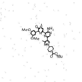 COc1cc(OC)cc(-c2nc(-c3nc(-c4cn(C5CCN(C(=O)OC(C)(C)C)CC5)nc4C)cnc3N)cn(C)c2=O)c1